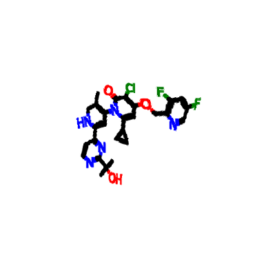 CC1=C(n2c(C3CC3)cc(OCc3ncc(F)cc3F)c(Cl)c2=O)C=C(c2ccnc(C(C)(C)O)n2)NC1